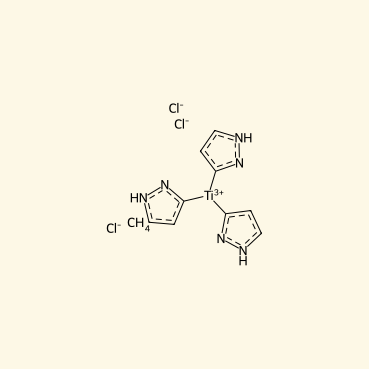 C.[Cl-].[Cl-].[Cl-].c1c[c]([Ti+3]([c]2cc[nH]n2)[c]2cc[nH]n2)n[nH]1